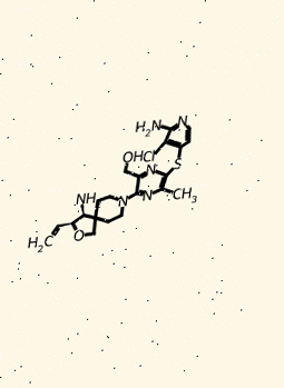 C=C[C@@H]1OCC2(CCN(c3nc(C)c(Sc4ccnc(N)c4Cl)nc3CO)CC2)[C@@H]1N